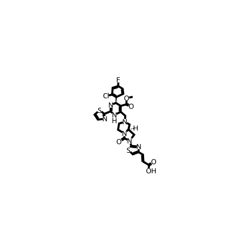 COC(=O)C1=C(CN2CCN3C(=O)N(c4nc(/C=C/C(=O)O)cs4)C[C@@H]3C2)NC(c2nccs2)=N[C@H]1c1ccc(F)cc1Cl